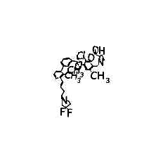 Cc1cc(OCc2cccc(-c3cccc(/C=C/CCN4CCC(F)(F)C4)c3C)c2C)c(Cl)cc1CN1CC[C@@H]1C(=O)O